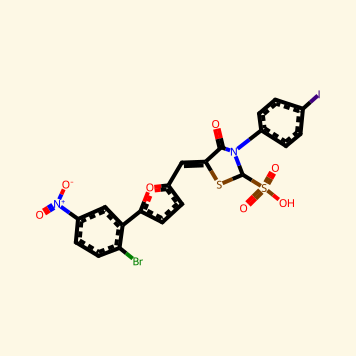 O=C1C(=Cc2ccc(-c3cc([N+](=O)[O-])ccc3Br)o2)SC(S(=O)(=O)O)N1c1ccc(I)cc1